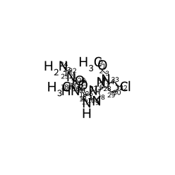 COCCn1nc(-c2cnc3[nH]cc(C(=O)N[C@H](C)C(=O)N4CC(N)C4)c3n2)c2ccc(Cl)cc21